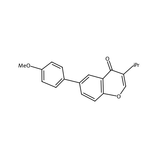 COc1ccc(-c2ccc3occ(C(C)C)c(=O)c3c2)cc1